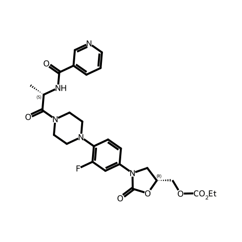 CCOC(=O)OC[C@H]1CN(c2ccc(N3CCN(C(=O)[C@H](C)NC(=O)c4cccnc4)CC3)c(F)c2)C(=O)O1